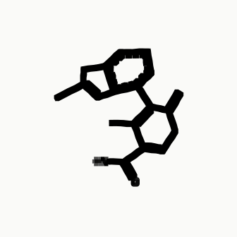 C=C1CC=C(C([NH])=O)C(C)=C1c1cccc2c1C=C(C)C2